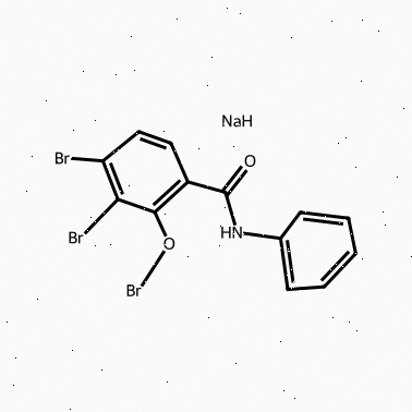 O=C(Nc1ccccc1)c1ccc(Br)c(Br)c1OBr.[NaH]